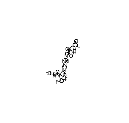 CC(C)(C)OC(=O)N[C@H]1CC(N2CCN(c3ncc(N4CCC(O)(C(=O)NCc5cc(F)cc(Cl)c5)C4=O)cn3)CC2)CO[C@@H]1c1cc(F)ccc1F